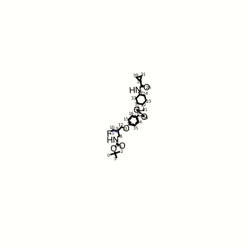 CC(C)(C)OC(=O)NC/C(=C\F)COc1ccc(S(=O)(=O)C[C@H]2CC[C@H](NC(=O)C3CC3)CC2)cc1